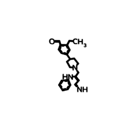 CCc1cc(C2CCN(C/C(=C/C=N)Nc3ccccc3)CC2)ccc1C=O